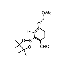 COCOc1ccc(C=O)c(B2OC(C)(C)C(C)(C)O2)c1F